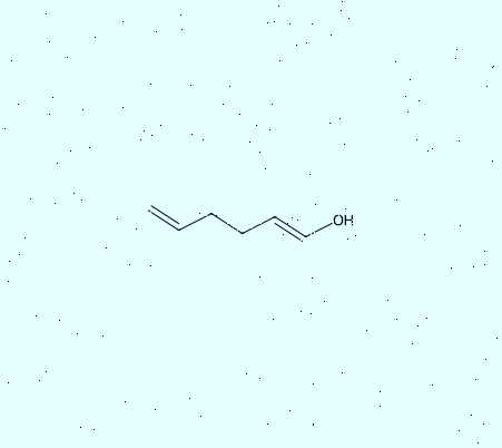 C=CCC/C=C/O